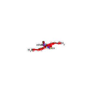 C=CC(=O)OCCCCCCOc1ccc(OC(=O)C2CCC(C(=O)Oc3cc(C)c(-c4cc(/C=N/N(CCCCCC)c5nc6ccccc6s5)c(OC(=O)C5CCC(C(=O)Oc6ccc(OCCCCCCOC(=O)C=C)cc6)CC5)cc4C)cc3/C=N/N(CCCCCC)c3nc4ccccc4s3)CC2)cc1